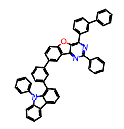 c1ccc(-c2cccc(-c3nc(-c4ccccc4)nc4c3oc3ccc(-c5cccc(-c6cccc7c8ccccc8n(-c8ccccc8)c67)c5)cc34)c2)cc1